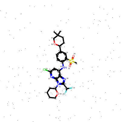 CC1(C)CCC(c2ccc(Nc3cc(Cl)nc4c3nc(C(F)F)n4C3CCCCO3)c(S(C)(=O)=O)c2)OC1